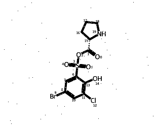 O=C(OS(=O)(=O)c1cc(Br)cc(Cl)c1O)[C@@H]1CCCN1